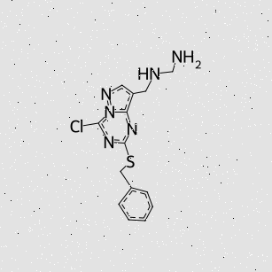 NCNCc1cnn2c(Cl)nc(SCc3ccccc3)nc12